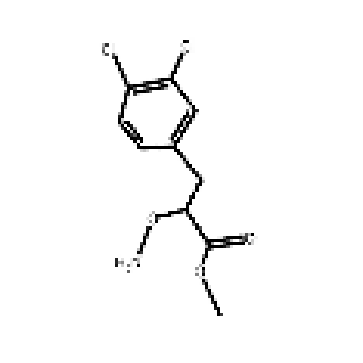 COC(=O)C(Cc1ccc(Cl)c(Cl)c1)ON